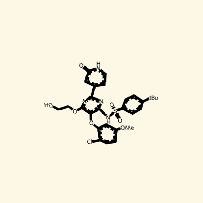 COc1ccc(Cl)c(Oc2c(NS(=O)(=O)c3ccc(C(C)(C)C)cc3)nc(-c3cc[nH]c(=O)c3)nc2OCCO)c1